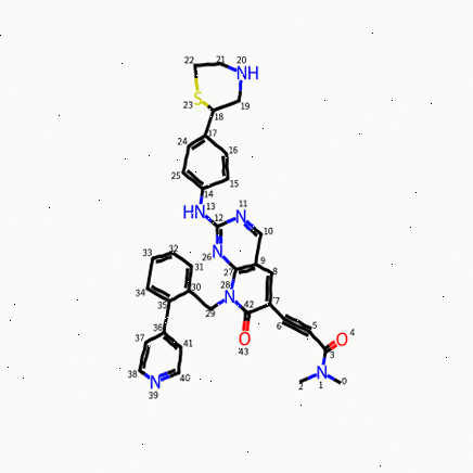 CN(C)C(=O)C#Cc1cc2cnc(Nc3ccc(C4CNCCS4)cc3)nc2n(Cc2ccccc2-c2ccncc2)c1=O